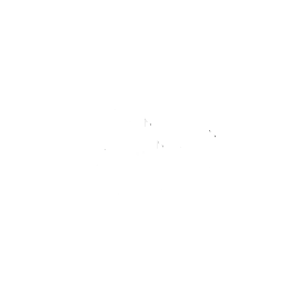 CC(C)c1c2c(nn1-c1cccnc1)CCCC2=O